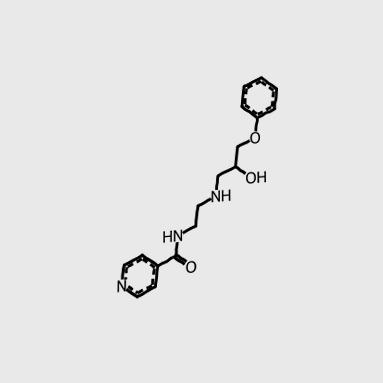 O=C(NCCNCC(O)COc1ccccc1)c1ccncc1